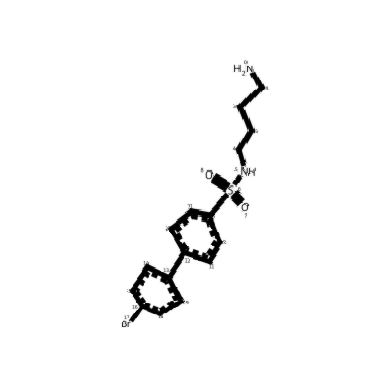 NCCCCNS(=O)(=O)c1ccc(-c2ccc(Br)cc2)cc1